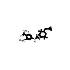 COC(=O)c1ccc(Nc2nc3c(s2)C(C)(C)CC(CC2CC2)C3(C)C)cc1OC